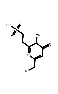 O=C1C=C(CO)N=C(CCS(=O)(=O)O)C1O